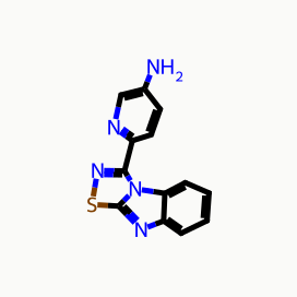 Nc1ccc(-c2nsc3nc4ccccc4n23)nc1